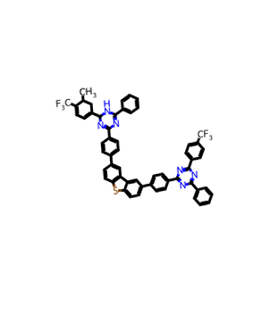 CC1CC(C2N=C(c3ccc(-c4ccc5sc6ccc(-c7ccc(-c8nc(-c9ccccc9)nc(-c9ccc(C(F)(F)F)cc9)n8)cc7)cc6c5c4)cc3)N=C(c3ccccc3)N2)=CC=C1C(F)(F)F